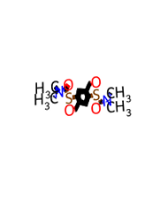 CN(C)C(=O)Sc1cc(C=O)c(SC(=O)N(C)C)cc1C=O